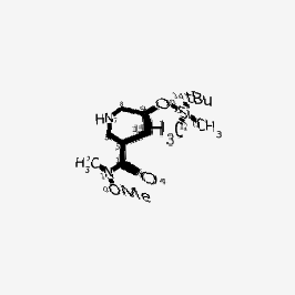 CON(C)C(=O)C1CNCC(O[Si](C)(C)C(C)(C)C)C1